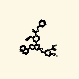 CC1COC(COc2nc3c(c(N4CCN(C(=O)OCc5ccccc5)[C@@H](CC#N)C4)n2)CCN(c2cccc4ccccc24)C3)CN1C(=O)O